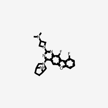 CN(C)C1CN(c2nc(N3CC4CCC(C3)N4)c3cc4oc5cccc(F)c5c4c(F)c3n2)C1